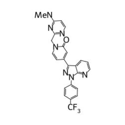 CNc1ccnc(Cn2ccc(-c3nn(-c4ccc(C(F)(F)F)cc4)c4ncccc34)cc2=O)n1